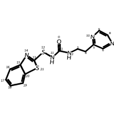 O=C(NCCc1cnccn1)NSc1nc2ccccc2s1